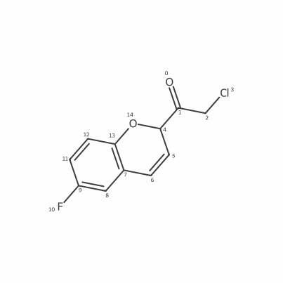 O=C(CCl)C1C=Cc2cc(F)ccc2O1